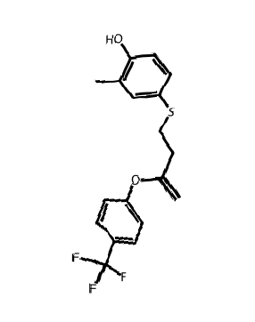 C=C(CCSc1ccc(O)c(C)c1)Oc1ccc(C(F)(F)F)cc1